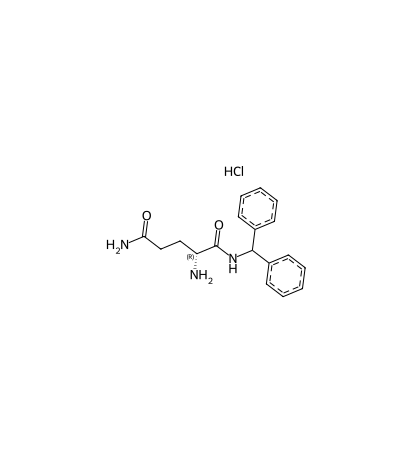 Cl.NC(=O)CC[C@@H](N)C(=O)NC(c1ccccc1)c1ccccc1